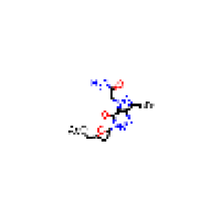 CCCc1nn(CC(N)=O)c2c(=O)n(C3[CH][CH]C(COC(C)=O)O3)nnc12